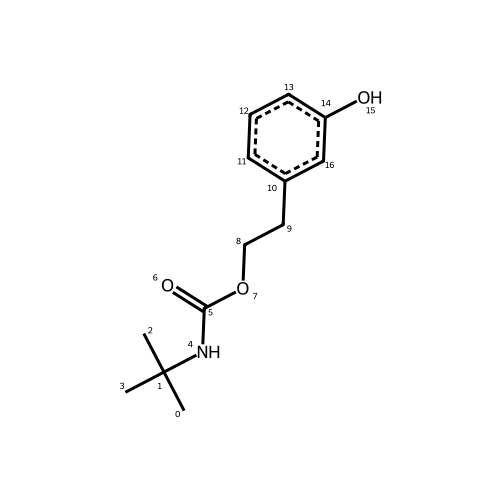 CC(C)(C)NC(=O)OCCc1cccc(O)c1